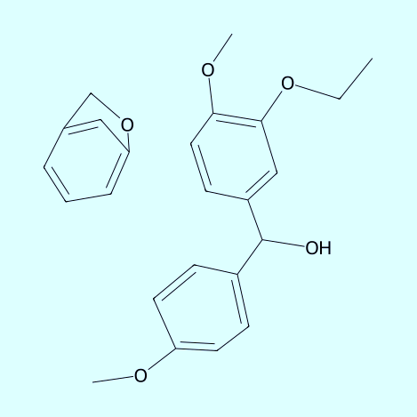 CCOc1cc(C(O)c2ccc(OC)cc2)ccc1OC.c1cc2cc(c1)OC2